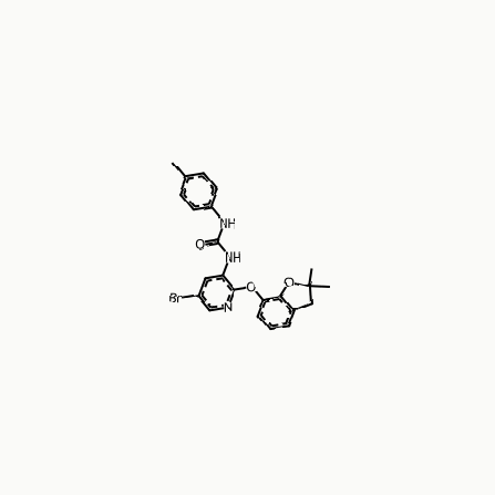 Cc1ccc(NC(=O)Nc2cc(Br)cnc2Oc2cccc3c2OC(C)(C)C3)cc1